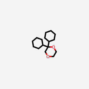 C1CCC(C2(C3CCCCC3)COCCO2)CC1